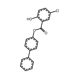 O=C(Oc1ccc(-c2ccccc2)cc1)c1cc(Cl)ccc1O